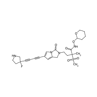 CC(CCN1Cc2cc(C#CC#CC3(F)CCNC3)cn2C1=O)(C(=O)NOC1CCCCO1)S(C)(=O)=O